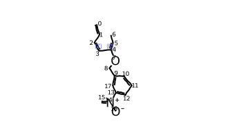 C=C/C=C\C(=C/C)OCc1cccc([N+](=C)[O-])c1